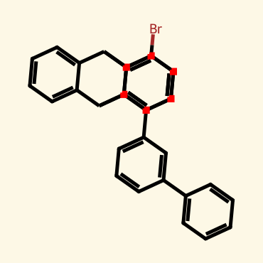 Brc1ccc(-c2cccc(-c3ccccc3)c2)c2c1C1c3ccccc3C2c2ccccc21